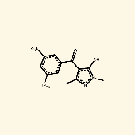 Cc1nn(C)c(O)c1C(=O)c1cc([N+](=O)[O-])cc([N+](=O)[O-])c1